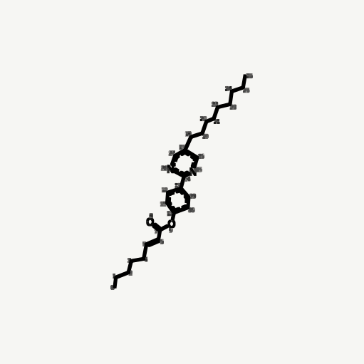 CCCCC/C=C/C(=O)Oc1ccc(-c2ncc(CCCCCCCCC)cn2)cc1